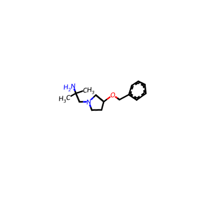 CC(C)(N)CN1CCC(OCc2ccccc2)C1